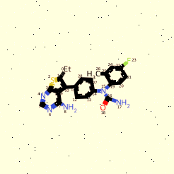 CCc1sc2ncnc(N)c2c1-c1ccc(N(C(N)=O)c2ccc(F)cc2C)cc1